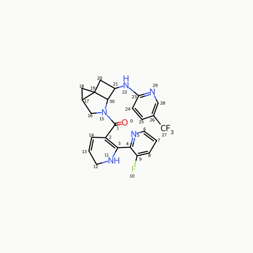 O=C(C1=C(c2ncccc2F)NCC=C1)N1CC2CC23CC(Nc2ccc(C(F)(F)F)cn2)C13